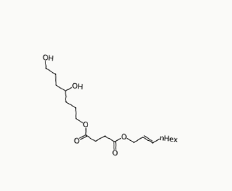 CCCCCCC=CCOC(=O)CCC(=O)OCCCC(O)CCCO